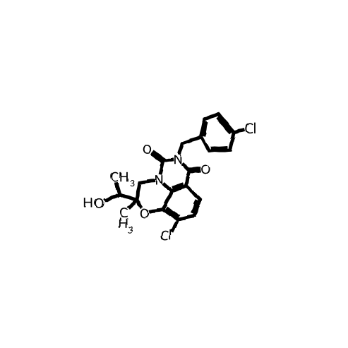 CC(O)C1(C)Cn2c(=O)n(Cc3ccc(Cl)cc3)c(=O)c3ccc(Cl)c(c32)O1